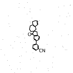 N#Cc1cccc(-c2ccc3c(c2)C(=O)C2(CCCC4=C(C=CCC4)C2)C3)c1